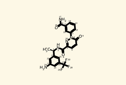 C[C@@H](NC(=O)c1ccc(=O)n(-c2cccc(C(N)=O)c2)n1)c1cc(N)cc(C(F)(F)F)c1